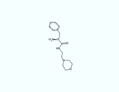 N[C@@H](Cc1ccccc1)C(=O)NCCN1CCOCC1